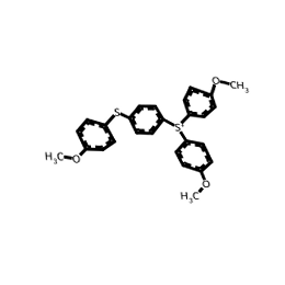 COc1ccc(Sc2ccc([S+](c3ccc(OC)cc3)c3ccc(OC)cc3)cc2)cc1